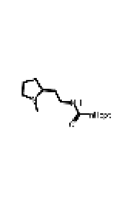 CCCCCCCC(=O)NCCC1CCCN1C